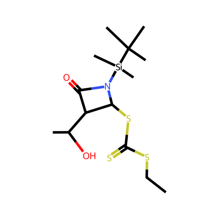 CCSC(=S)SC1C(C(C)O)C(=O)N1[Si](C)(C)C(C)(C)C